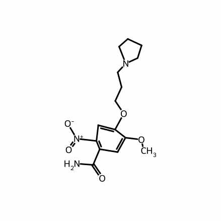 COc1cc(C(N)=O)c([N+](=O)[O-])cc1OCCCN1CCCC1